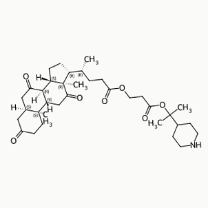 C[C@H](CCC(=O)OCCC(=O)OC(C)(C)C1CCNCC1)[C@H]1CC[C@H]2[C@@H]3C(=O)C[C@@H]4CC(=O)CC[C@]4(C)[C@H]3CC(=O)[C@]12C